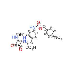 CCCNc1c(NC(Cc2ccc(NC(=O)OCc3ccc([N+](=O)[O-])cc3)cc2)C(=O)O)c(=O)c1=O